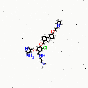 Cc1c(COc2cc(OCc3cncc(N)c3)c(CNCCCN(C)C)cc2Cl)cccc1-c1cccc(OCCCN2CCCC2)c1